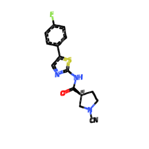 N#CN1CC[C@H](C(=O)Nc2ncc(-c3ccc(F)cc3)s2)C1